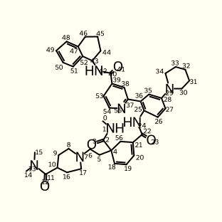 CNC(=O)C1(CCN2CCC(C(=O)N(C)C)CC2)C=CC=C(C(=O)Nc2ccc(N3CCCCC3)cc2-c2cc(C(=O)NC3CCCc4ccccc43)ccn2)C1